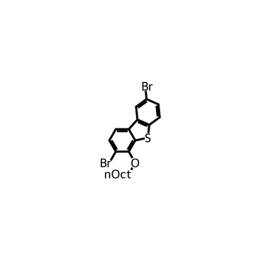 CCCCCCCCOc1c(Br)ccc2c1sc1ccc(Br)cc12